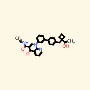 C=C(O)C1(Cc2ccc(-c3cccc(-n4cc(C(=O)NCC(F)(F)F)c(=O)c5cccnc54)c3)cc2)CCC1